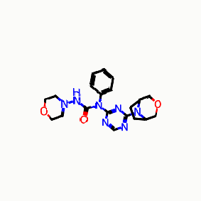 O=C(NN1CCOCC1)N(c1ccccc1)c1ncnc(N2C3CCC2COC3)n1